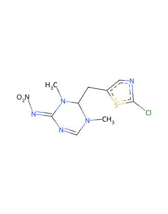 CN1C=NC(=N[N+](=O)[O-])N(C)C1Cc1cnc(Cl)s1